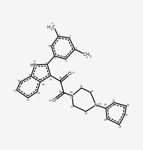 Cc1cc(C)cc(-c2[nH]c3ccccc3c2C(=O)C(=O)N2CCN(c3ccccc3)CC2)c1